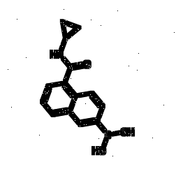 O=C(NC1CC1)c1cccc2cc(B(O)O)ccc12